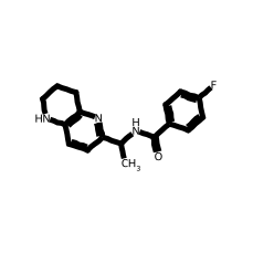 CC(NC(=O)c1ccc(F)cc1)c1ccc2c(n1)CCCN2